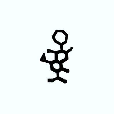 O=C(O)c1cn(C2CC2)c2c(Cl)c(N3CCCCCC3)c(F)cc2c1=O